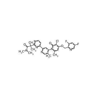 Cc1cnc(-c2ccnc(C(C)(C)C(=O)N(C)C)n2)cc1-n1c(C)cc(OCc2ncc(F)cc2F)c(Cl)c1=O